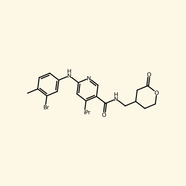 Cc1ccc(Nc2cc(C(C)C)c(C(=O)NCC3CCOC(=O)C3)cn2)cc1Br